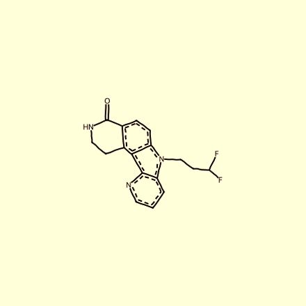 O=C1NCCc2c1ccc1c2c2ncccc2n1CCC(F)F